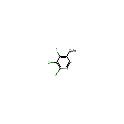 COc1ccc(F)c(Cl)c1F